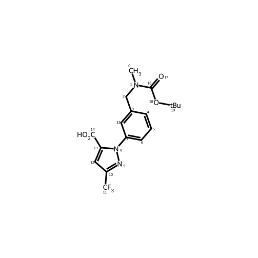 CN(Cc1cccc(-n2nc(C(F)(F)F)cc2C(=O)O)c1)C(=O)OC(C)(C)C